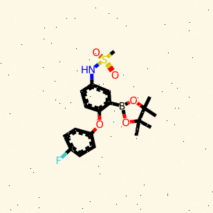 CC1(C)OB(c2cc(NS(C)(=O)=O)ccc2Oc2ccc(F)cc2)OC1(C)C